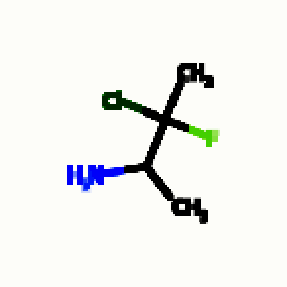 CC(N)C(C)(F)Cl